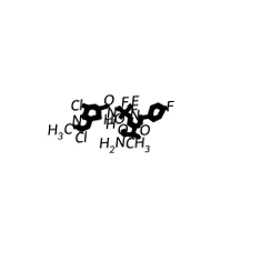 Cc1nc2c(Cl)cc(C(=O)NCC(O)(c3cc4c(c(-c5ccc(F)cc5)n3)OC[C@]4(C)C(N)=O)C(F)(F)F)cc2cc1Cl